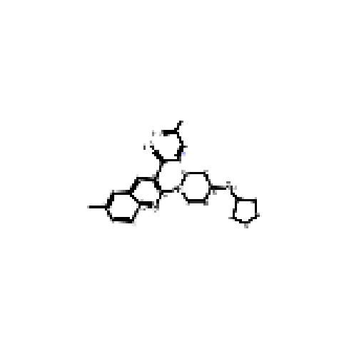 CC(=N)/C=C\C(=N)c1cc2cc(C)ccc2nc1N1CCC(NC2CCCC2)CC1